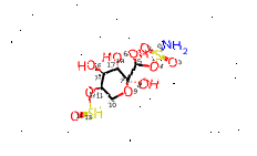 NS(=O)(=O)OC(O)[C@@]1(O)OC[C@@H](O[SH]=O)[C@@H](O)[C@@H]1O